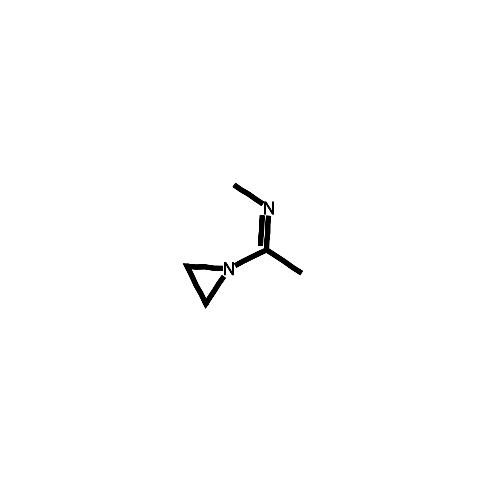 C/N=C(/C)N1CC1